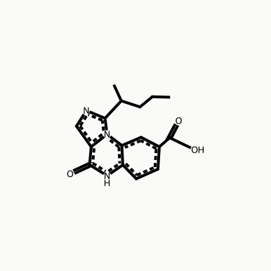 CCCC(C)c1ncc2c(=O)[nH]c3ccc(C(=O)O)cc3n12